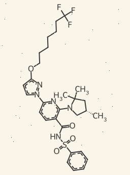 C[C@@H]1CN(c2nc(-n3ccc(OCCCCCCC(F)(F)F)n3)ccc2C(=O)NS(=O)(=O)c2ccccc2)C(C)(C)C1